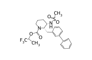 CC(OC(=O)N1CCC[C@H](NS(C)(=O)=O)[C@@H]1Cc1cccc(-c2ccccc2)c1)C(F)(F)F